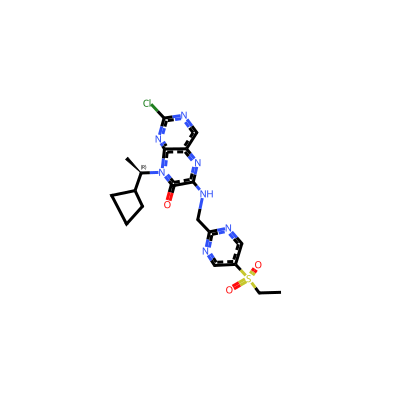 CCS(=O)(=O)c1cnc(CNc2nc3cnc(Cl)nc3n([C@H](C)C3CCC3)c2=O)nc1